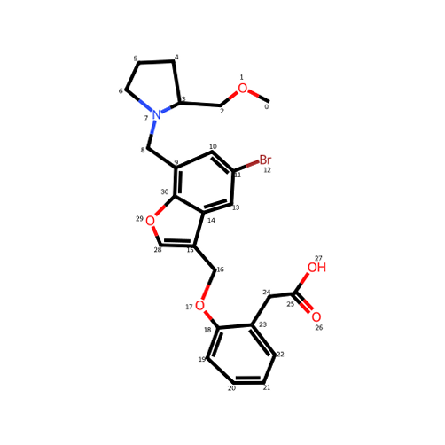 COCC1CCCN1Cc1cc(Br)cc2c(COc3ccccc3CC(=O)O)coc12